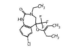 CC=C(CC)OC1(C(F)(F)F)CN(CC)C(=O)Nc2ccc(Cl)cc21